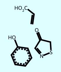 C=CC(=O)O.O=C1C=NSC1.Oc1ccccc1